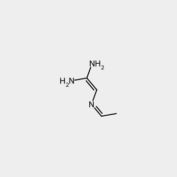 C/C=N\C=C(N)N